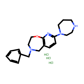 Cl.Cl.Cl.c1ccc(CN2CCOc3nc(N4CCCNCC4)ccc3C2)cc1